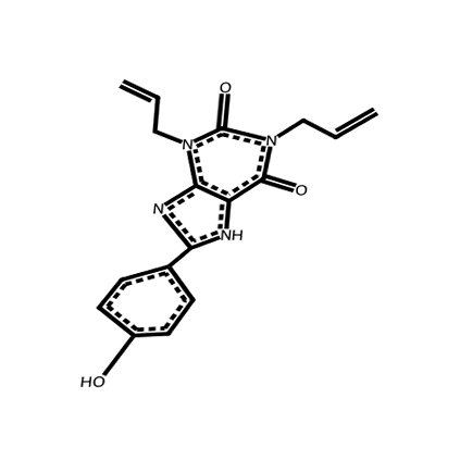 C=CCn1c(=O)c2[nH]c(-c3ccc(O)cc3)nc2n(CC=C)c1=O